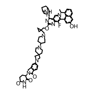 CCc1cccc2cc(O)cc(-c3ncc4c(N5CC6CCC(C5)N6)nc(OCC5(CN6CCC(N7CCC8(CC7)CN(c7ccc9c(c7)CN(C7CCC(=O)NC7=O)C9=O)C8)CC6)CC5)nc4c3F)c12